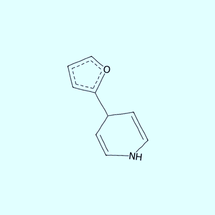 C1=CC(c2ccco2)C=CN1